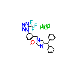 COc1ccc(-n2nnnc2C(F)(F)F)cc1CN1CCN(C)[C@H](C(c2ccccc2)c2ccccc2)C1.Cl.Cl